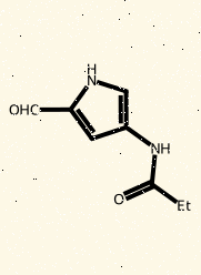 CCC(=O)Nc1c[nH]c(C=O)c1